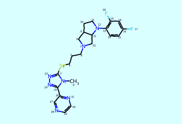 Cn1c(SCCCN2CC3CCN(c4ccc(F)cc4F)C3C2)nnc1-c1cnccn1